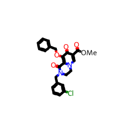 COC(=O)c1cn2c(c(OCc3ccccc3)c1=O)C(=O)N(Cc1cccc(Cl)c1)CC2